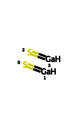 [S]=[GaH].[S]=[GaH]